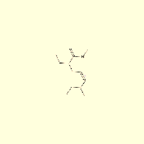 C=C(NC)C(CC)C/C=C\C(C)CC